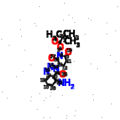 CC(C)(C)C(=O)OCN1C(=O)CCC(n2nnc3cccc(N)c3c2=O)C1=O